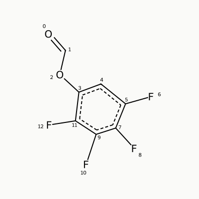 O=COc1cc(F)c(F)c(F)c1F